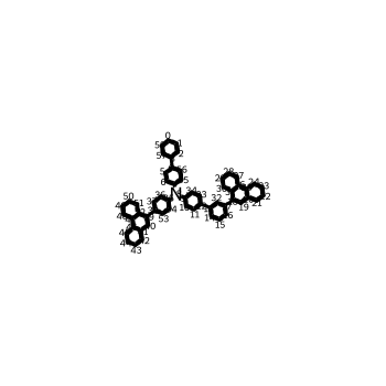 c1ccc(-c2ccc(N(c3ccc(-c4cccc(-c5cc6ccccc6c6ccccc56)c4)cc3)c3ccc(-c4cc5ccccc5c5ccccc45)cc3)cc2)cc1